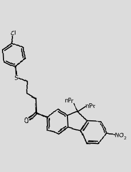 CCCC1(CCC)c2cc(C(=O)CCCSc3ccc(Cl)cc3)ccc2-c2ccc([N+](=O)[O-])cc21